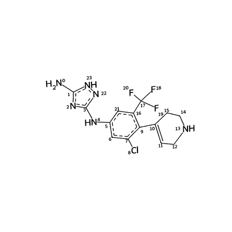 Nc1nc(Nc2cc(Cl)c(C3=CCNCC3)c(C(F)(F)F)c2)n[nH]1